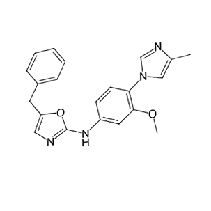 COc1cc(Nc2ncc(Cc3ccccc3)o2)ccc1-n1cnc(C)c1